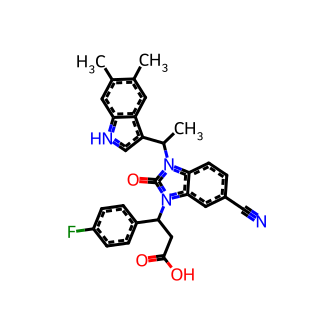 Cc1cc2[nH]cc(C(C)n3c(=O)n(C(CC(=O)O)c4ccc(F)cc4)c4cc(C#N)ccc43)c2cc1C